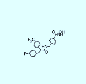 O=C(NCc1ccc(C(=O)NO)cc1)/C(=C/c1ccc(F)cc1)c1ccc(C(F)(F)F)cc1